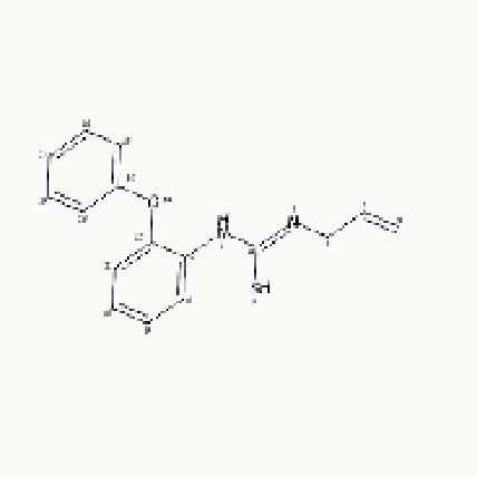 C=CC/N=C(\S)Nc1ccccc1Oc1ccccc1